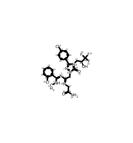 CN/C(=N\C(Cn1nc(-c2ccc(Cl)cc2)n(C[C@H](O)C(F)(F)F)c1=O)=N\CC(N)=O)c1ccccc1Cl